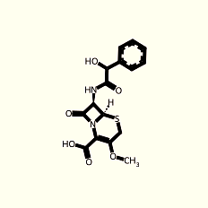 COC1=C(C(=O)O)N2C(=O)[C@@H](NC(=O)C(O)c3ccccc3)[C@H]2SC1